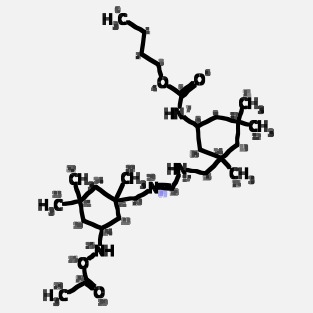 CCCCOC(=O)NC1CC(C)(C)CC(C)(CN/C=N/CC2(C)CC(NOC(C)=O)CC(C)(C)C2)C1